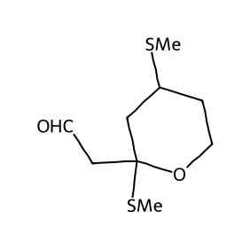 CSC1CCOC(CC=O)(SC)C1